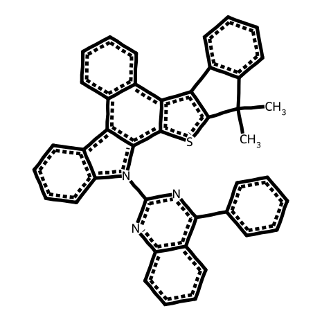 CC1(C)c2ccccc2-c2c1sc1c2c2ccccc2c2c3ccccc3n(-c3nc(-c4ccccc4)c4ccccc4n3)c12